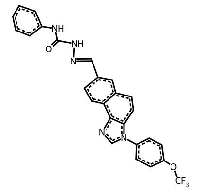 O=C(N/N=C/c1ccc2c(ccc3c2ncn3-c2ccc(OC(F)(F)F)cc2)c1)Nc1ccccc1